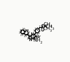 CC(C)(C)OC(=O)CN1CCC(c2nc3c(-c4cnc5ccccc5c4)cnn3c(N)c2Br)CC1